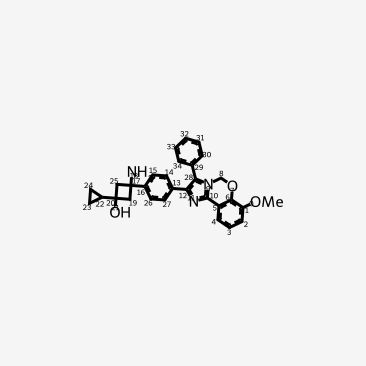 COc1cccc2c1OCn1c-2nc(-c2ccc(C3(N)CC(O)(C4CC4)C3)cc2)c1-c1ccccc1